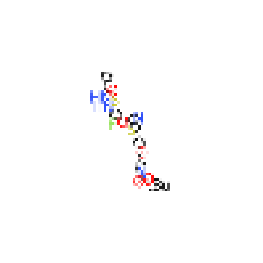 CC(C)(C)OC(=O)N1CCC(COc2ccc(-c3cc4nccc(Oc5ccc(NC(=S)NC(=O)Cc6ccccc6)cc5F)c4s3)cc2)CC1